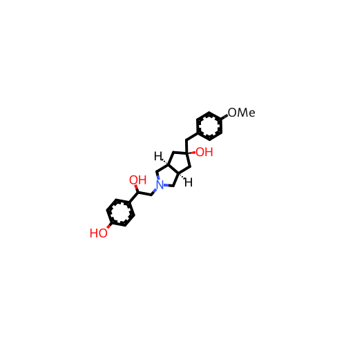 COc1ccc(C[C@]2(O)C[C@H]3CN(CC(O)c4ccc(O)cc4)C[C@H]3C2)cc1